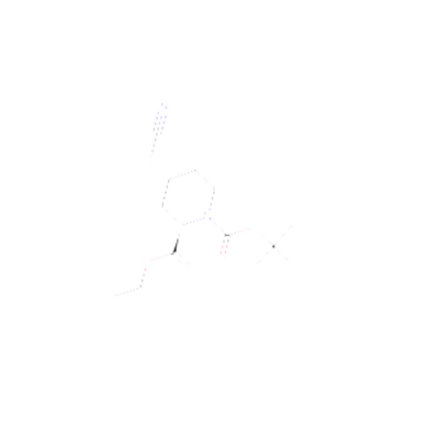 CCOC(=O)[C@H]1C[C@H](SC#N)CCN1C(=O)OC(C)(C)C